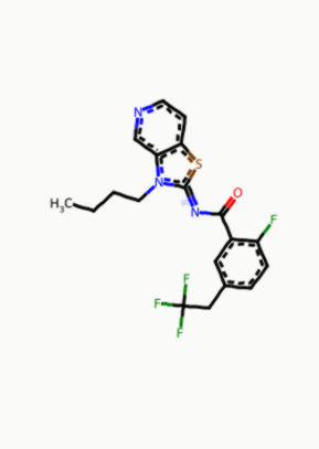 CCCCn1/c(=N/C(=O)c2cc(CC(F)(F)F)ccc2F)sc2ccncc21